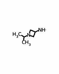 CC(C)N1CC([NH])C1